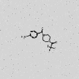 Nc1ccc(C(=O)N2CCN(C(=O)C(F)(F)F)CC2)cc1